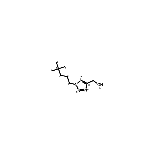 CC(C)(C)CCCn1nnc(CO)n1